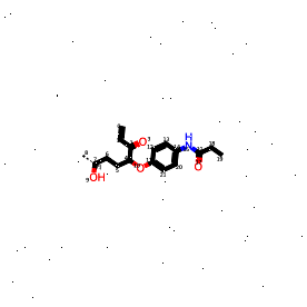 C=CC(=O)C(CC[C@@H](C)O)Oc1ccc(NC(=O)CC)cc1